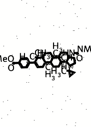 CNC(=O)N[C@]12CC[C@@H](C3(C)CC3)C1[C@H]1CCC3[C@@]4(C)CC=C(c5ccc(C(=O)OC)cc5)C(C)(C)[C@@H]4CC[C@@]3(C)[C@]1(C)CC2